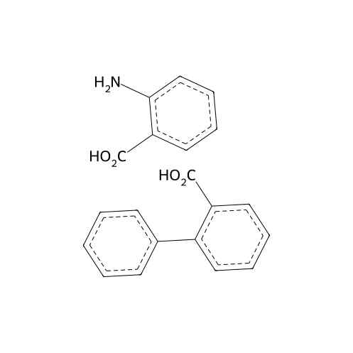 Nc1ccccc1C(=O)O.O=C(O)c1ccccc1-c1ccccc1